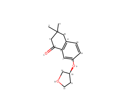 CC1(C)CC(=O)c2cc(O[C@H]3CCOC3)ccc2C1